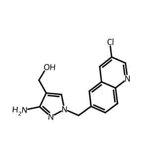 Nc1nn(Cc2ccc3ncc(Cl)cc3c2)cc1CO